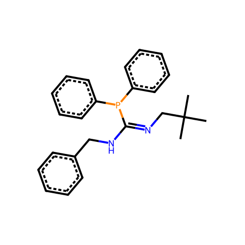 CC(C)(C)C/N=C(/NCc1ccccc1)P(c1ccccc1)c1ccccc1